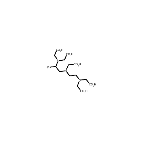 CCCC(CN(CCN(CC(=O)O)CC(=O)O)CC(=O)O)N(CC(=O)O)CC(=O)O